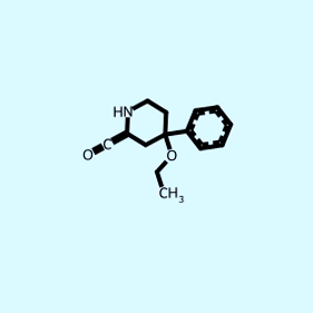 CCOC1(c2ccccc2)CCNC(=C=O)C1